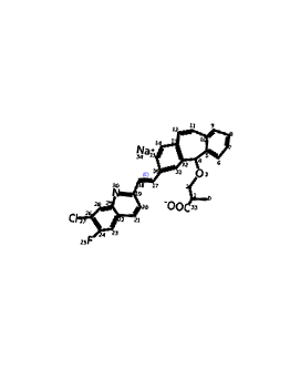 CC(COC1c2ccccc2C=Cc2ccc(/C=C/c3ccc4cc(F)c(Cl)cc4n3)cc21)C(=O)[O-].[Na+]